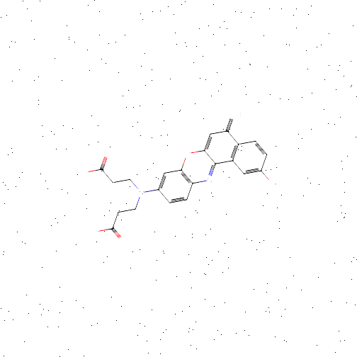 C=c1cc2c(c3cc(O)ccc13)=Nc1ccc(N(CCC(=O)O)CCC(=O)O)cc1O2